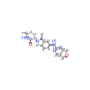 C=C1CCC(N2Cc3ccc(Nc4ncc5c(n4)COC5)cc3C2=C)C(=O)N1